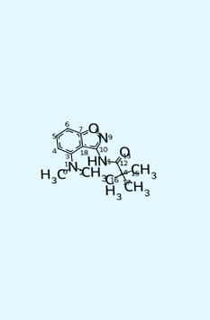 CN(C)c1cccc2onc(NC(=O)C(C)(C)C)c12